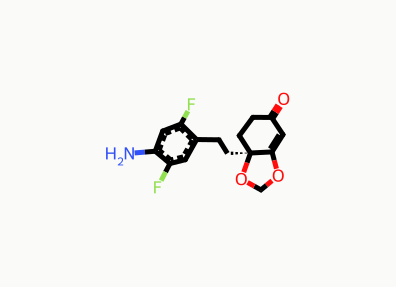 Nc1cc(F)c(CC[C@]23CCC(=O)C=C2OCO3)cc1F